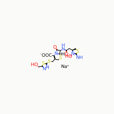 N=c1scc(CC(=O)NC2C(=O)N3C(C(=O)[O-])=C(CSc4nnc(CO)s4)CS[C@@H]23)n1O.[Na+]